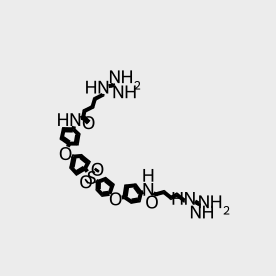 N=C(N)NCCCCC(=O)Nc1ccc(Oc2ccc(S(=O)(=O)c3ccc(Oc4ccc(NC(=O)CCCCNC(=N)N)cc4)cc3)cc2)cc1